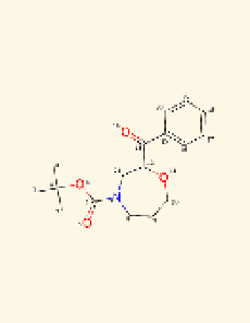 CC(C)(C)OC(=O)N1CCCOC(C(=O)c2ccccc2)C1